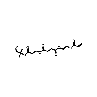 C=CC(=O)OCCOC(=O)CCC(=O)OCCC(=O)OC(C)(C)CBr